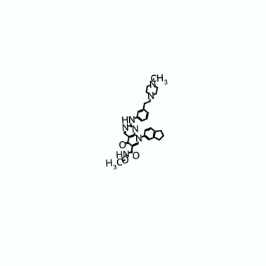 CONC(=O)c1cn(-c2ccc3c(c2)CCC3)c2nc(Nc3cccc(CCN4CCN(C)CC4)c3)ncc2c1=O